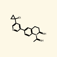 CCC1(c2cncc(-c3ccc4c(c3)CCC(=N)N4C(C)=N)c2)CC1